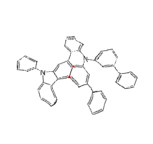 c1ccc(-c2cccc(N(c3cccc(-c4ccccc4)c3)c3ccccc3-c3ccc4c5ccccc5n(-c5ccccc5)c4c3)c2)cc1